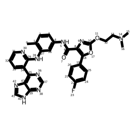 Cc1ccc(NC(=O)c2nc(OCCN(C)C)oc2-c2ccc(F)cc2)cc1Nc1ncccc1-c1ncnc2[nH]cnc12